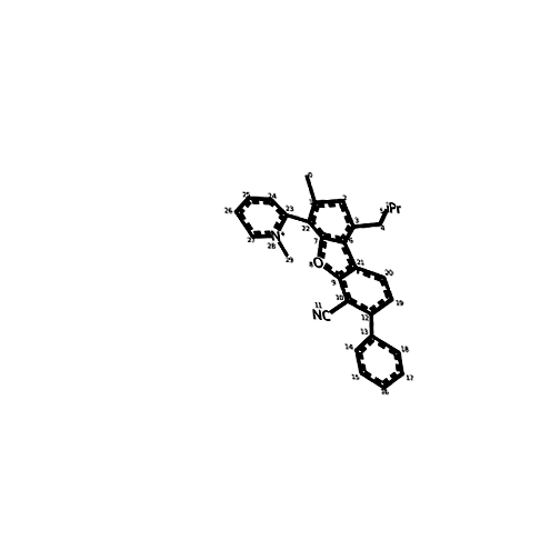 Cc1cc(CC(C)C)c2c(oc3c(C#N)c(-c4ccccc4)ccc32)c1-c1cccc[n+]1C